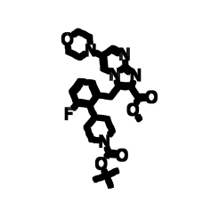 COC(=O)c1nc2ncc(N3CCOCC3)cn2c1Cc1cccc(F)c1C1CCN(C(=O)OC(C)(C)C)CC1